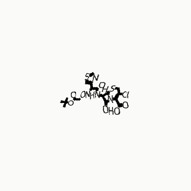 CC(C)(C)OC(=O)CON=C(C(=O)NC1C(=O)N2C(C(=O)O)=C(Cl)CS[C@@H]12)c1cscn1